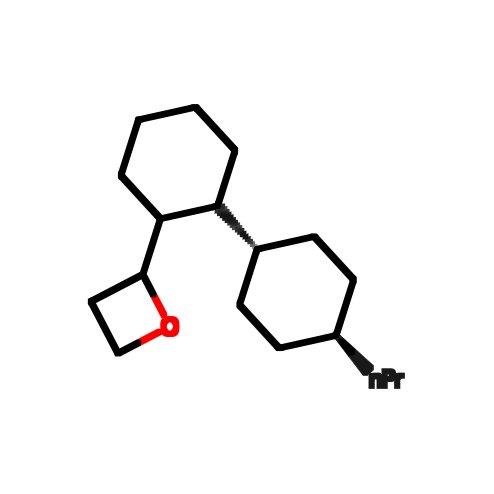 CCC[C@H]1CC[C@H](C2CCCCC2C2CCO2)CC1